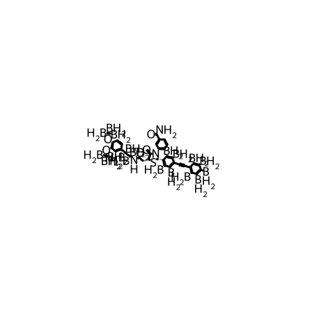 Bc1c(B)c(B)c(C#Cc2c(B)c(B)c([C@@H]3S[C@H](CC(=O)NC(B)(B)C(B)(B)c4ccc(OC(B)(B)B)c(OC(B)(B)B)c4)C(=O)N3c3cccc(C(N)=O)c3)c(B)c2B)c(B)c1B